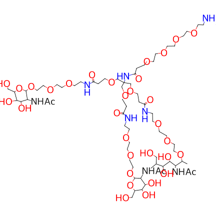 CC(=O)NC(C(C)OCCOCCOCCNC(=O)CCOCC(COCCC(=O)NCCOCCOCCOC1OC(CO)C(O)C(O)C1NC(C)=O)(COCCC(=O)NCCOCCOCCOC1OC(CO)C(O)C(O)C1NC(C)=O)NC(=O)CCOCCOCCOCCOCCN)C(O)C(O)C(C)CO